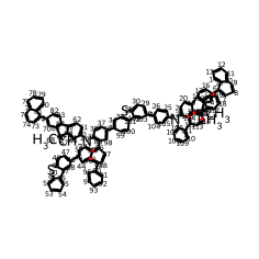 CC1(C)c2cc(-c3cccc4ccccc34)ccc2-c2ccc(N(c3ccc(-c4ccc5sc6cc(-c7ccc(N(c8cccc(-c9ccc%10sc%11ccccc%11c%10c9)c8)c8ccc9c(c8)C(C)(C)c8cc(-c%10cccc%11ccccc%10%11)ccc8-9)c(-c8ccc(-c9ccccc9)cc8)c7)ccc6c5c4)cc3)c3ccccc3-c3ccc(-c4ccccc4)cc3)cc21